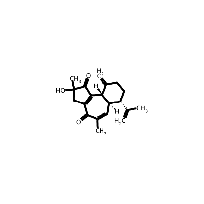 C=C1CC[C@H](C(=C)C)[C@H]2C=C(C)C(=O)C3=C(C(=O)C(C)(O)C3)[C@H]12